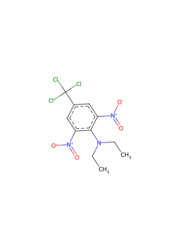 CCN(CC)c1c([N+](=O)[O-])cc(C(Cl)(Cl)Cl)cc1[N+](=O)[O-]